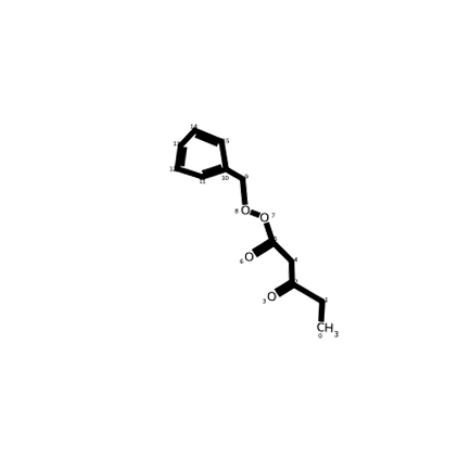 CCC(=O)CC(=O)OOCc1ccccc1